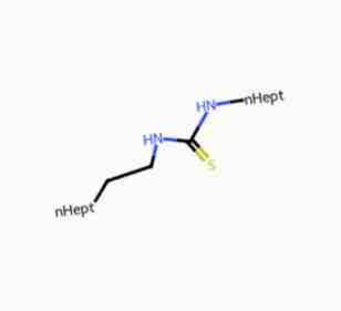 CCCCCCCCCNC(=S)NCCCCCCC